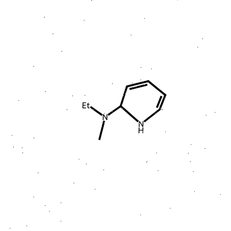 CCN(C)C1C=CC=[C]N1